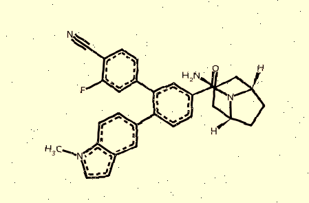 Cn1ccc2cc(-c3ccc(C(=O)N4[C@@H]5CC[C@H]4C[C@H](N)C5)cc3-c3ccc(C#N)c(F)c3)ccc21